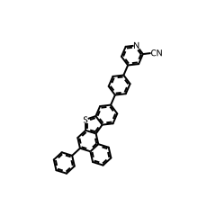 N#Cc1cc(-c2ccc(-c3ccc4c(c3)sc3cc(-c5ccccc5)c5ccccc5c34)cc2)ccn1